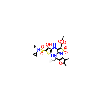 CCN(C1CC1)S(=O)(=O)c1scc(NC2=C(C3OC(C)O3)S(=O)(=O)N=C2N[C@@H](c2cc(C)c(C)o2)C(C)C)c1O